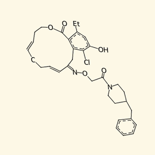 CCc1cc(O)c(Cl)c2c1C(=O)OCC/C=C/CC/C=C/C(=N/OCC(=O)N1CCC(Cc3ccccc3)CC1)C2